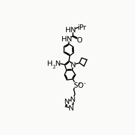 CC(C)NC(=O)Nc1ccc(-c2c(N)c3ccc([S+]([O-])CCn4cncn4)cc3n2C2CCC2)cc1